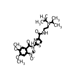 COc1cc(C(=O)Nc2nc(C(=O)NCCN(C(C)C)C(C)C)cs2)c([N+](=O)[O-])cc1OC